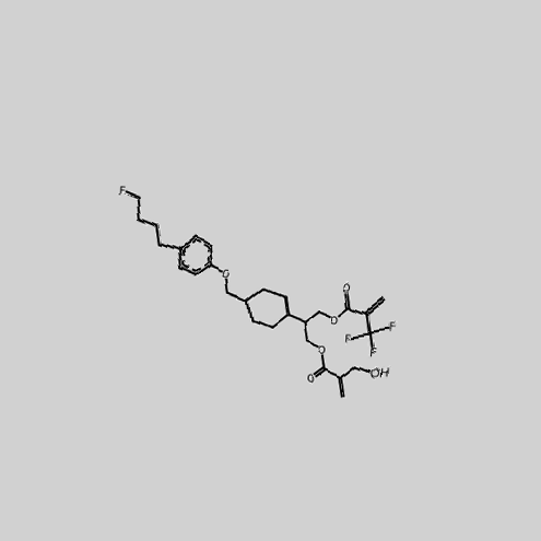 C=C(CO)C(=O)OCC(COC(=O)C(=C)C(F)(F)F)C1CCC(COc2ccc(CCCCF)cc2)CC1